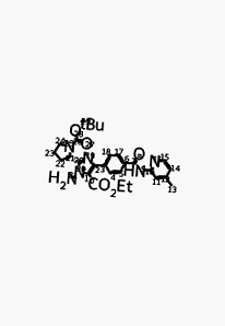 CCOC(=O)c1c(-c2ccc(C(=O)Nc3cc(C)ccn3)cc2)nc([C@@H]2CCCN2C(=O)OC(C)(C)C)n1N